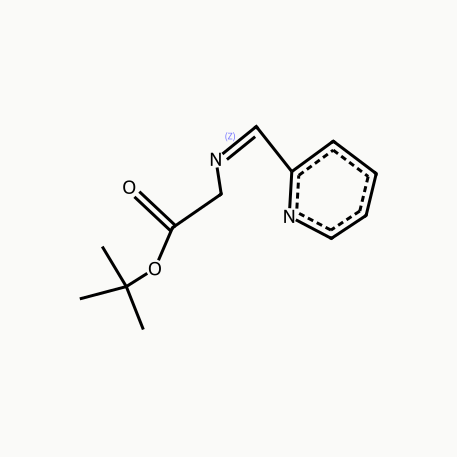 CC(C)(C)OC(=O)C/N=C\c1ccccn1